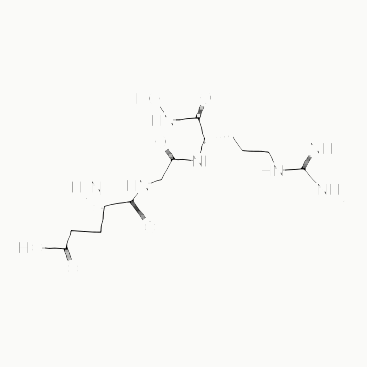 N=C(N)NCCC[C@H](NC(=O)CNC(=O)[C@@H](N)CCC(=O)O)C(=O)NO